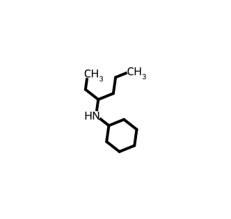 CCCC(CC)NC1CCCCC1